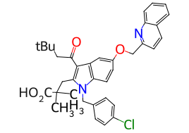 CC(C)(C)CC(=O)c1c(CC(C)(C)C(=O)O)n(Cc2ccc(Cl)cc2)c2ccc(OCc3ccc4ccccc4n3)cc12